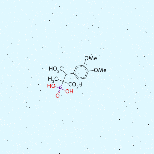 COc1ccc(C(C(=O)O)C(C)(C(=O)O)P(=O)(O)O)cc1OC